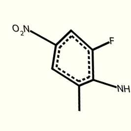 Cc1cc([N+](=O)[O-])cc(F)c1N